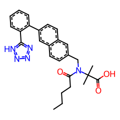 CCCCC(=O)N(Cc1ccc2cc(-c3ccccc3-c3nnn[nH]3)ccc2c1)C(C)(C)C(=O)O